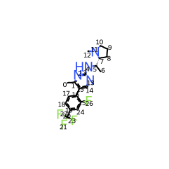 Cc1nc(NC(C)[C@H]2CCCN2C)ncc1-c1ccc(C(F)(F)F)cc1F